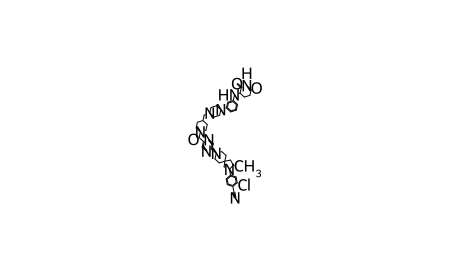 C[C@H]1CC2(CCN(c3cnc(C(=O)N4CCC(CN5CCN(c6cccc(NC7CCC(=O)NC7=O)c6)CC5)CC4)cn3)CC2)CN1c1ccc(C#N)c(Cl)c1